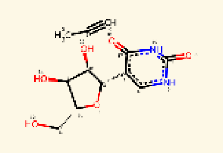 C#CC.O=c1[nH]cc([C@@H]2O[C@H](CO)[C@@H](O)[C@H]2O)c(=O)[nH]1